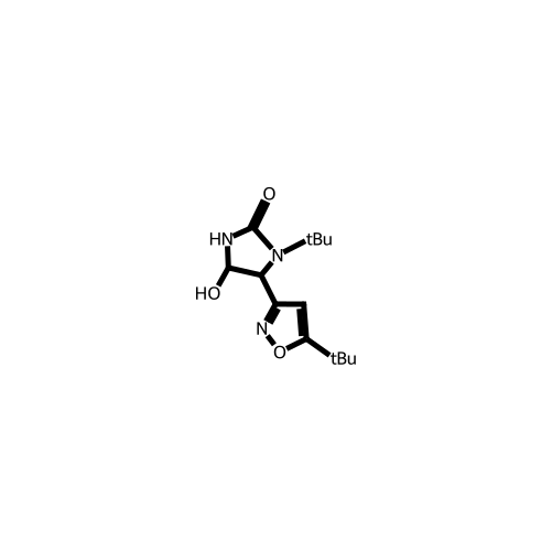 CC(C)(C)c1cc(C2C(O)NC(=O)N2C(C)(C)C)no1